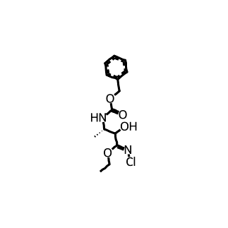 CCO/C(=N\Cl)C(O)[C@H](C)NC(=O)OCc1ccccc1